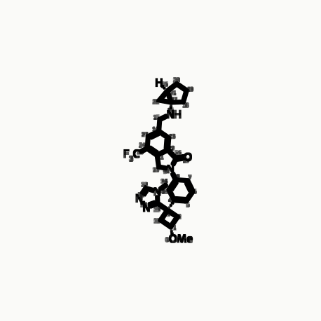 CO[C@H]1C[C@](c2cccc(N3Cc4c(cc(CN[C@@]56CCC[C@@H]5C6)cc4C(F)(F)F)C3=O)c2)(c2nncn2C)C1